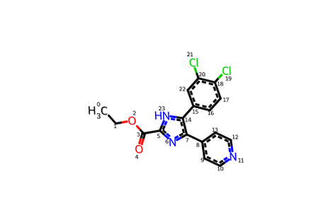 CCOC(=O)c1nc(-c2ccncc2)c(-c2ccc(Cl)c(Cl)c2)[nH]1